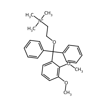 COc1cccc(C(OCC[N+](C)(C)C)(c2ccccc2)c2ccccc2)c1OC